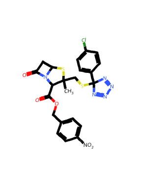 CC1(CSC2(c3ccc(Cl)cc3)N=NN=N2)SC2CC(=O)N2C1C(=O)OCc1ccc([N+](=O)[O-])cc1